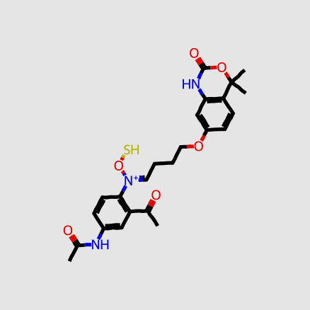 CC(=O)Nc1ccc([N+](=CCCCOc2ccc3c(c2)NC(=O)OC3(C)C)OS)c(C(C)=O)c1